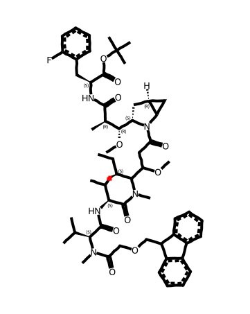 CC[C@H](C)C(C(CC(=O)N1C2C[C@@H]2C[C@H]1[C@H](OC)[C@@H](C)C(=O)N[C@@H](Cc1ccccc1F)C(=O)OC(C)(C)C)OC)N(C)C(=O)[C@@H](NC(=O)[C@H](C(C)C)N(C)C(=O)COCC1c2ccccc2-c2ccccc21)C(C)C